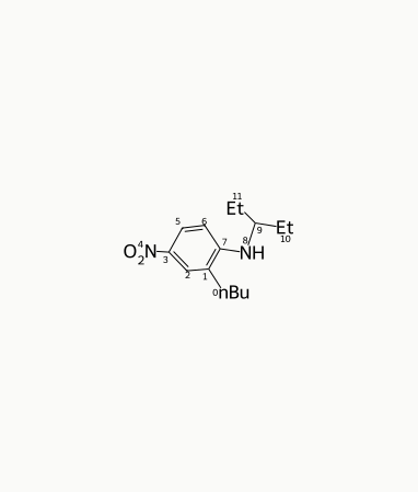 CCCCc1cc([N+](=O)[O-])ccc1NC(CC)CC